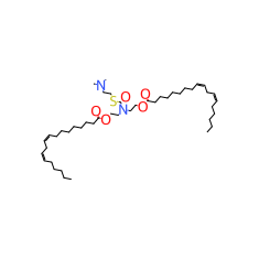 CCCCC/C=C\C/C=C\CCCCCCCC(=O)OCCN(CCOC(=O)CCCCCCC/C=C\C/C=C\CCCCC)C(=O)SCCN(C)C